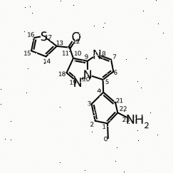 Cc1ccc(-c2ccnc3c(C(=O)c4cccs4)cnn23)cc1N